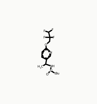 CC(N[S+]([O-])C(C)(C)C)c1ccc(OCC(F)(F)C(F)F)nc1